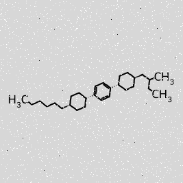 CCCCCC[C@H]1CC[C@H](c2ccc([C@H]3CC[C@H](CC(C)CC)CC3)cc2)CC1